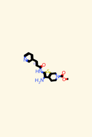 COC(=O)N1CCc2c(sc(NC(=O)/C=C/c3cccnc3)c2N)C1